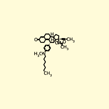 CC#C[C@]1(OC(C)=O)CC[C@H]2[C@@H]3CCC4=CC(=O)CCC4=C3[C@@H](c3ccc(N(C)CCCCCCC)cc3)C[C@@]21C